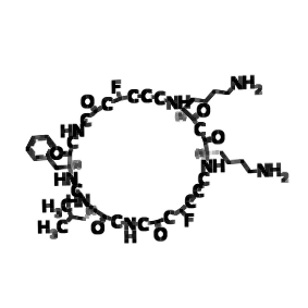 CC(C)C[C@@H]1NCN[C@@H](Cc2ccccc2)C(=O)CNCC(=O)CC(F)CCCN[C@@H](CCCCN)C(=O)CC(=O)[C@H](CCCCN)NCCCC(F)CC(=O)CNCC1=O